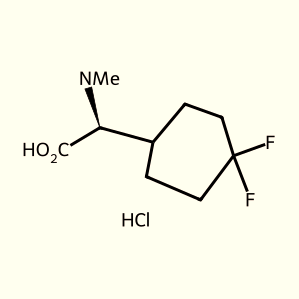 CN[C@H](C(=O)O)C1CCC(F)(F)CC1.Cl